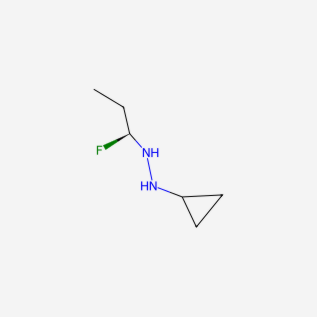 CC[C@H](F)NNC1CC1